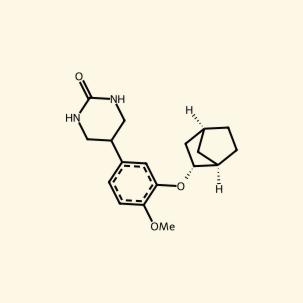 COc1ccc(C2CNC(=O)NC2)cc1O[C@@H]1C[C@H]2CC[C@@H]1C2